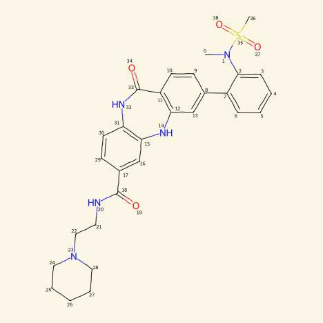 CN(c1ccccc1-c1ccc2c(c1)Nc1cc(C(=O)NCCN3CCCCC3)ccc1NC2=O)S(C)(=O)=O